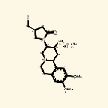 COc1cc2c(cc1OC)C1CC(N)C(N3C[C@@H](CF)CC3=O)CN1CC2.Cl.Cl